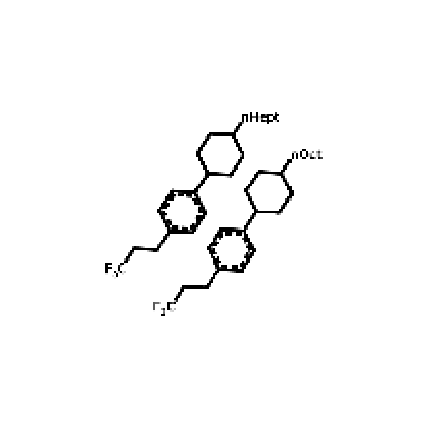 CCCCCCCC1CCC(c2ccc(CCC(F)(F)F)cc2)CC1.CCCCCCCCC1CCC(c2ccc(CCC(F)(F)F)cc2)CC1